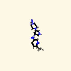 FC(F)(F)c1ccc(Nc2cncc(N3CCNCC3)c2)cn1